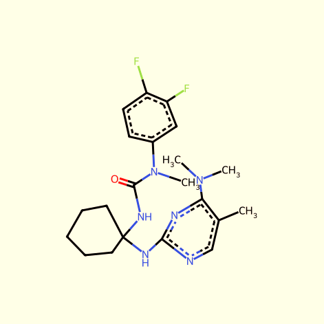 Cc1cnc(NC2(NC(=O)N(C)c3ccc(F)c(F)c3)CCCCC2)nc1N(C)C